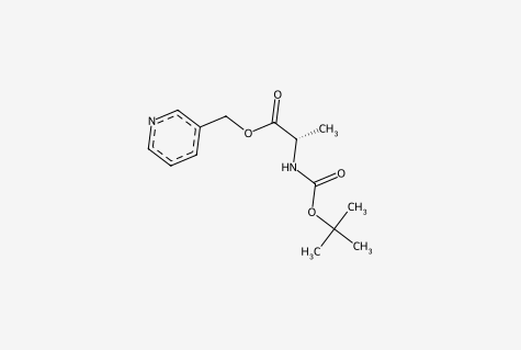 C[C@H](NC(=O)OC(C)(C)C)C(=O)OCc1cccnc1